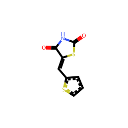 O=C1NC(=O)C(=Cc2cccs2)S1